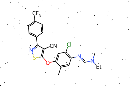 CCN(C)C=Nc1cc(C)c(Oc2snc(-c3ccc(C(F)(F)F)cc3)c2C#N)cc1Cl